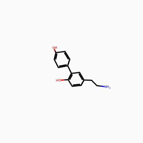 NCCc1ccc(O)c(-c2ccc(O)cc2)c1